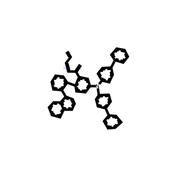 C=C/C=C\C(=C)c1cc(N(c2ccc(-c3ccccc3)cc2)c2ccc(-c3ccccc3)cc2)ccc1-c1ccccc1-c1cccc2ccccc12